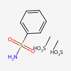 CS(=O)(=O)O.CS(=O)(=O)O.NS(=O)(=O)c1ccccc1